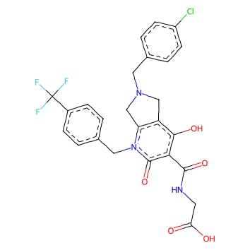 O=C(O)CNC(=O)c1c(O)c2c(n(Cc3ccc(C(F)(F)F)cc3)c1=O)CN(Cc1ccc(Cl)cc1)C2